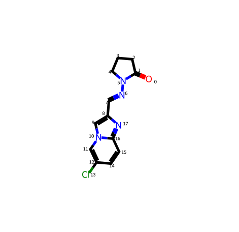 O=C1CCCN1N=Cc1cn2cc(Cl)ccc2n1